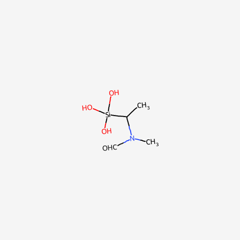 CC(N(C)C=O)[Si](O)(O)O